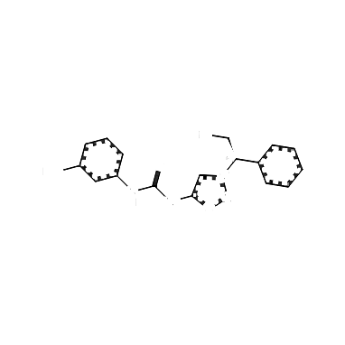 O=C([N-]c1c[n+]([C@@H](CO)c2ccccc2)no1)Nc1cccc(C(F)(F)F)c1